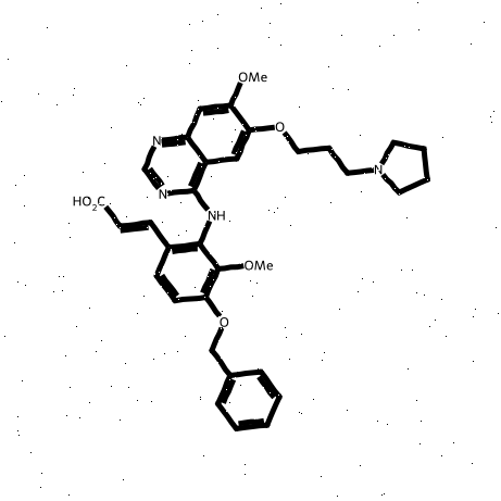 COc1cc2ncnc(Nc3c(/C=C/C(=O)O)ccc(OCc4ccccc4)c3OC)c2cc1OCCCN1CCCC1